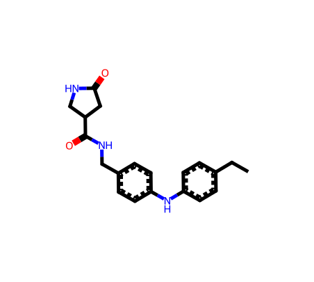 CCc1ccc(Nc2ccc(CNC(=O)C3CNC(=O)C3)cc2)cc1